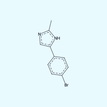 Cc1ncc(-c2ccc(Br)cc2)[nH]1